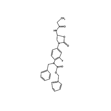 CCC(=O)NC1CN(c2ccc(N(Cc3ccccc3)C(=O)OCc3ccccc3)c(F)c2)C(=O)O1